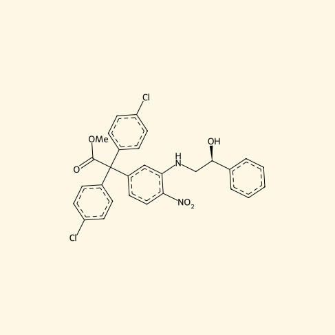 COC(=O)C(c1ccc(Cl)cc1)(c1ccc(Cl)cc1)c1ccc([N+](=O)[O-])c(NC[C@@H](O)c2ccccc2)c1